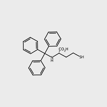 O=C(O)[C@H](CCS)NC(c1ccccc1)(c1ccccc1)c1ccccc1